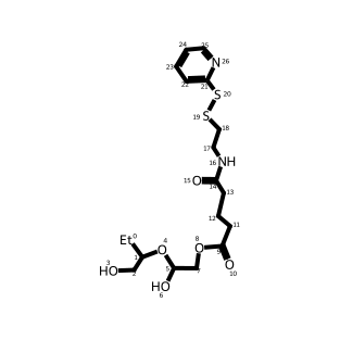 CCC(CO)OC(O)COC(=O)CCCC(=O)NCCSSc1ccccn1